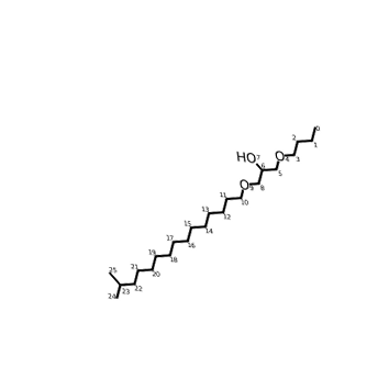 CCCCOCC(O)COCCCCCCCCCCCCCC(C)C